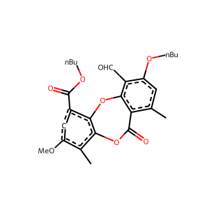 CCCCOC(=O)c1cc(OC)c(C)c2c1Oc1c(C=O)c(OCCCC)cc(C)c1C(=O)O2